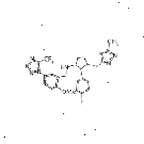 COc1ccc(-n2nnnc2C(F)(F)F)cc1CNC1CCC(Cc2nnn(C)n2)C1c1ccc(F)cc1